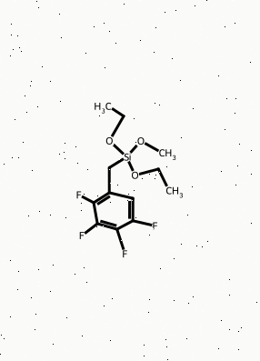 CCO[Si](Cc1cc(F)c(F)c(F)c1F)(OC)OCC